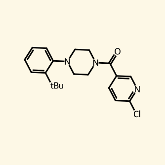 CC(C)(C)c1ccccc1N1CCN(C(=O)c2ccc(Cl)nc2)CC1